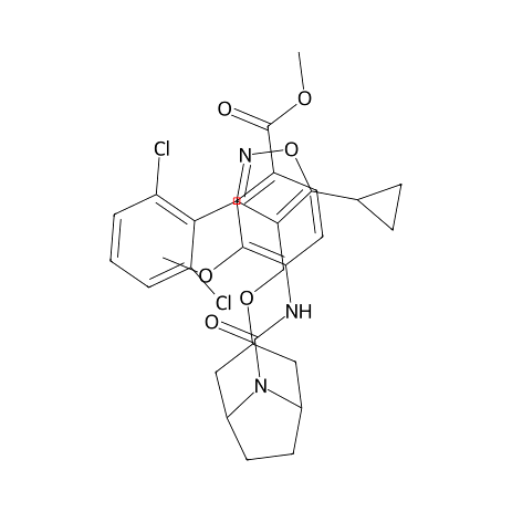 COC(=O)c1ccc(NC(=O)N2C3CCC2CC(OCc2c(-c4c(Cl)cccc4Cl)noc2C2CC2)C3)c(OC)c1